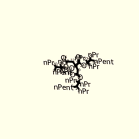 CCCCCC(CCC)C(CCC)(CCC)OC(=O)CC(O)(CC(=O)OC(CCC)(CCC)C(CCC)CCCCC)C(=O)OC(CCC)(CCC)C(CCC)CCCCC